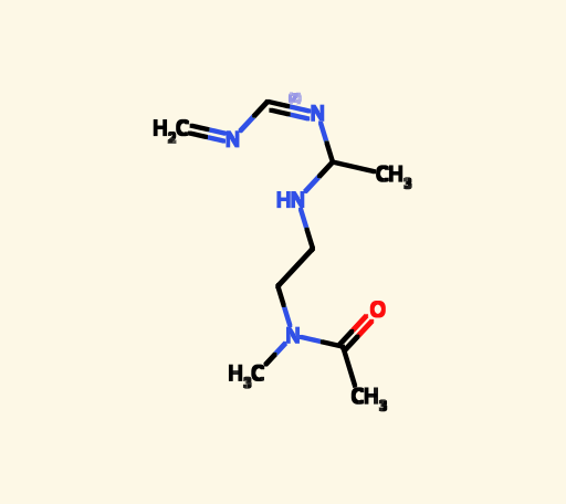 C=N/C=N\C(C)NCCN(C)C(C)=O